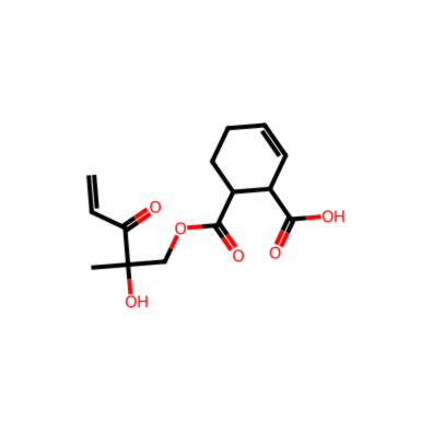 C=CC(=O)C(C)(O)COC(=O)C1CCC=CC1C(=O)O